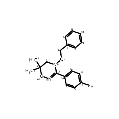 CC1(C)CN(OCc2ccccc2)C(c2ccc(F)cc2)=NO1